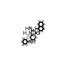 N=C(N)N(Cc1cccc2ccccc12)C(=O)N1CCC(Nc2ccccc2)CC1